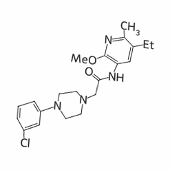 CCc1cc(NC(=O)CN2CCN(c3cccc(Cl)c3)CC2)c(OC)nc1C